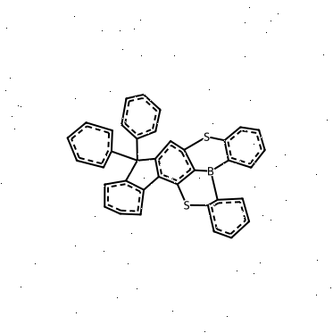 c1ccc(C2(c3ccccc3)c3ccccc3-c3c2cc2c4c3Sc3ccccc3B4c3ccccc3S2)cc1